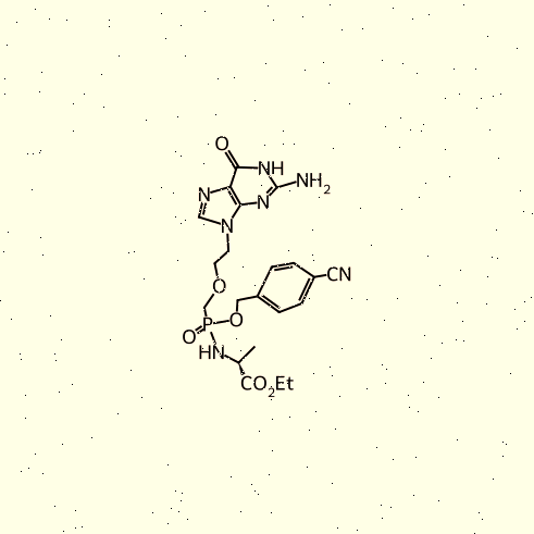 CCOC(=O)[C@H](C)NP(=O)(COCCn1cnc2c(=O)[nH]c(N)nc21)OCc1ccc(C#N)cc1